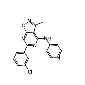 Cc1noc2nc(-c3cccc(Cl)c3)nc(Nc3ccncc3)c12